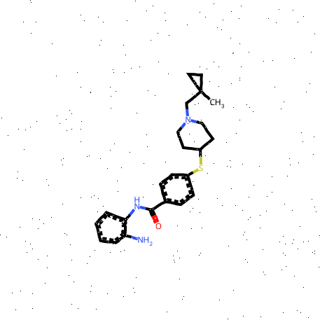 CC1(CN2CCC(Sc3ccc(C(=O)Nc4ccccc4N)cc3)CC2)CC1